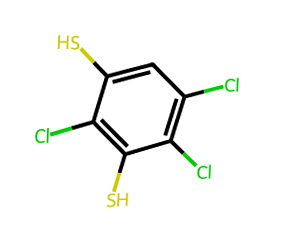 Sc1cc(Cl)c(Cl)c(S)c1Cl